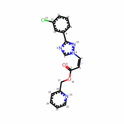 O=C(/C=C\n1cnc(-c2cccc(Cl)c2)n1)OCc1ccccn1